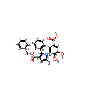 COC(=O)c1cc(OC)c(OC)c(-n2c(C)cc(C(=O)OCc3ccccc3)c2-c2ccccc2)c1